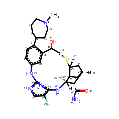 CN1CCCC(c2ccc3cc2[C@@H](O)CS[C@@H]2C[C@@H]4C[C@H]2[C@@H](Nc2nc(ncc2F)N3)[C@H]4C(N)=O)CC1